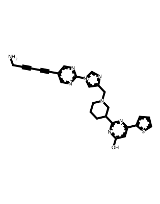 NCC#CC#Cc1cnc(-n2cnc(CN3CCCC(c4nc(O)cc(-c5cccs5)n4)C3)c2)nc1